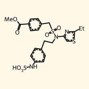 CCc1nc(N(CCc2ccc(NS(=O)(=O)O)cc2)S(=O)(=O)Cc2ccc(C(=O)OC)cc2)cs1